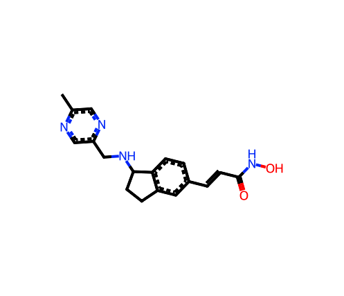 Cc1cnc(CNC2CCc3cc(/C=C/C(=O)NO)ccc32)cn1